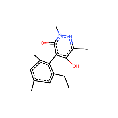 CCc1cc(C)cc(C)c1-c1c(O)c(C)nn(C)c1=O